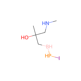 CNCC(C)(O)CBPI